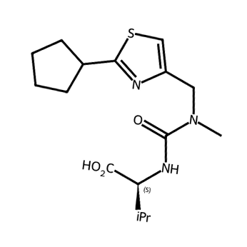 CC(C)[C@H](NC(=O)N(C)Cc1csc(C2CCCC2)n1)C(=O)O